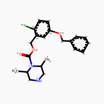 CC1CNCC(C)N1C(=O)OCc1cc(OCc2ccccc2)ccc1F